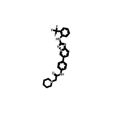 O=C(CN1CCCCC1)Nc1ccc(-c2ccc3nc(Nc4ccccc4C(F)(F)F)nn3c2)cc1